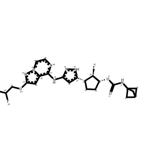 O=C(NC12CC(C1)C2)O[C@@H]1CC[C@H](c2cc(Nc3nccn4nc(OCC(F)F)cc34)n[nH]2)[C@H]1F